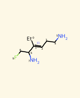 CC/C(=C\CCN)C(N)CF